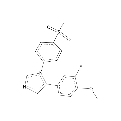 COc1ccc(-c2cncn2-c2ccc(S(C)(=O)=O)cc2)cc1F